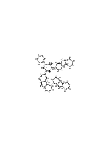 c1ccc(C2NC(c3ccc4oc5cccc(-c6cccc7c6oc6ccccc67)c5c4c3)=NC(c3ccc4c(c3)sc3ccccc34)N2)cc1